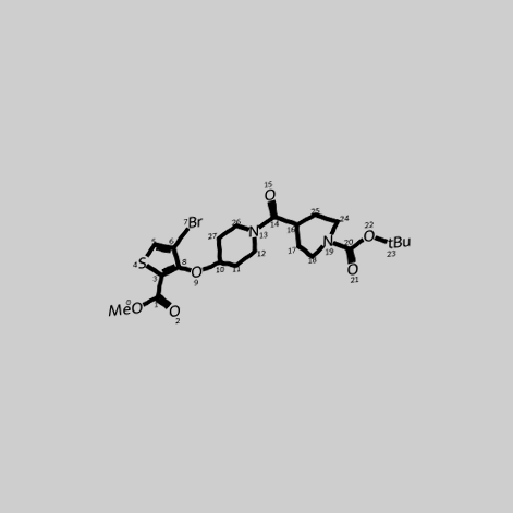 COC(=O)c1scc(Br)c1OC1CCN(C(=O)C2CCN(C(=O)OC(C)(C)C)CC2)CC1